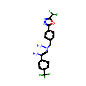 N/C(=C\N(N)Cc1ccc(-c2nnc(C(F)F)o2)cc1)c1ccc(C(F)(F)F)cc1